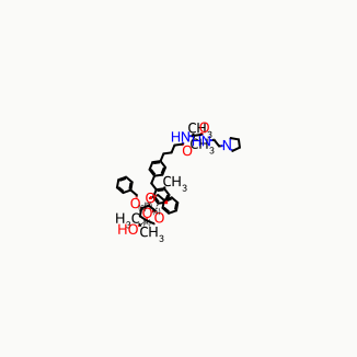 Cc1ccc([C@@]23OC[C@@](C(C)(C)O)(C[C@H](OCc4ccccc4)[C@H]2OCc2ccccc2)O3)cc1Cc1ccc(CCCC(=O)NC(C)(C)C(=O)NCCN2CCCC2)cc1